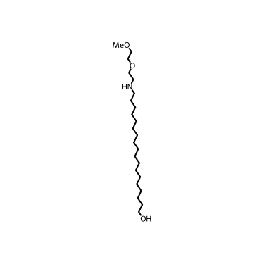 COCCOCCNCCCCCCCCCCCCCCCCCCO